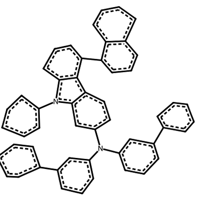 c1ccc(-c2cccc(N(c3cccc(-c4ccccc4)c3)c3ccc4c5c(-c6cccc7ccccc67)cccc5n(-c5ccccc5)c4c3)c2)cc1